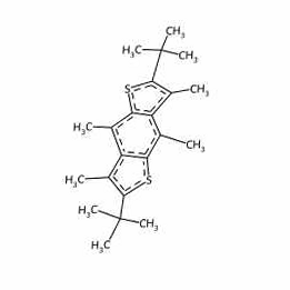 Cc1c(C(C)(C)C)sc2c(C)c3c(C)c(C(C)(C)C)sc3c(C)c12